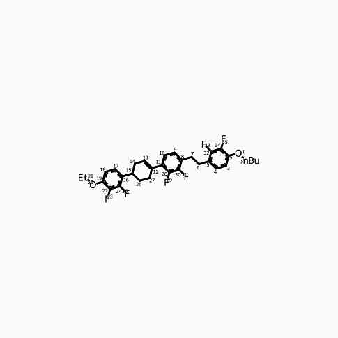 CCCCOc1ccc(CCc2ccc(C3=CCC(c4ccc(OCC)c(F)c4F)CC3)c(F)c2F)c(F)c1F